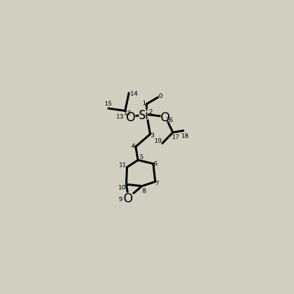 CC[Si](CCC1CCC2OC2C1)(OC(C)C)OC(C)C